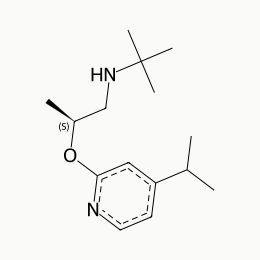 CC(C)c1ccnc(O[C@@H](C)CNC(C)(C)C)c1